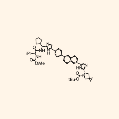 COC(=O)N[C@H](C(=O)N[C@H](c1ncc(-c2ccc(-c3ccc4cc(-c5cnc([C@@H]6CC7(CC7)CN6C(=O)OC(C)(C)C)[nH]5)ccc4c3)cc2)[nH]1)C1CCCC1)C(C)C